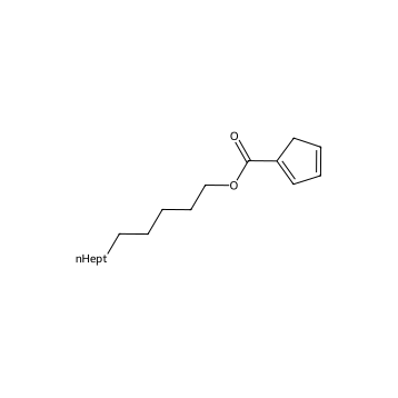 CCCCCCCCCCCCOC(=O)C1=CC=CC1